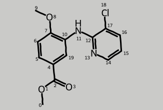 COC(=O)c1ccc(OC)c(Nc2ncccc2Cl)c1